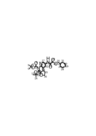 CC(C)(C)OC(=O)N(C(=O)OC(C)(C)C)c1ncc(NC(=O)C(=O)OCc2ccccc2)cc1C1CCOC1